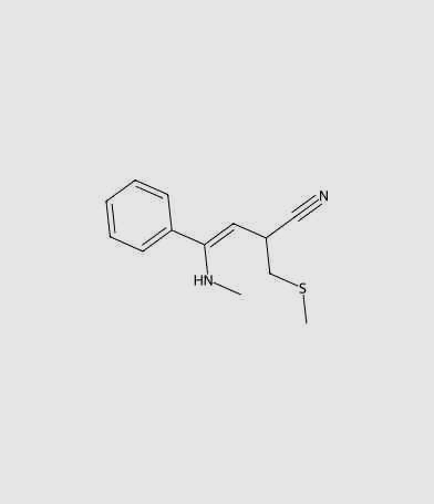 CN/C(=C\C(C#N)CSC)c1ccccc1